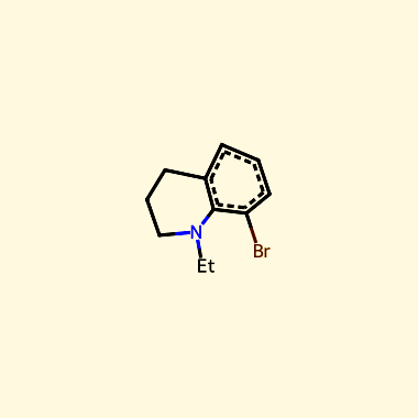 CCN1CCCc2cccc(Br)c21